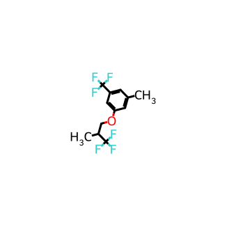 Cc1cc(OCC(C)C(F)(F)F)cc(C(F)(F)F)c1